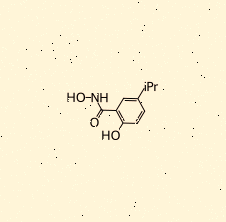 CC(C)c1ccc(O)c(C(=O)NO)c1